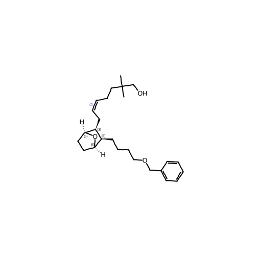 CC(C)(CO)CC/C=C\C[C@H]1[C@@H](CCCCOCc2ccccc2)[C@H]2CC[C@@H]1O2